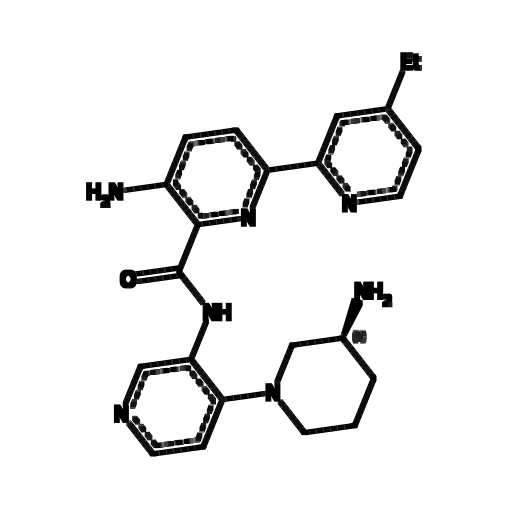 CCc1ccnc(-c2ccc(N)c(C(=O)Nc3cnccc3N3CCC[C@H](N)C3)n2)c1